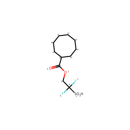 O=C(OCC(F)(F)S(=O)(=O)O)C1CCCCCCC1